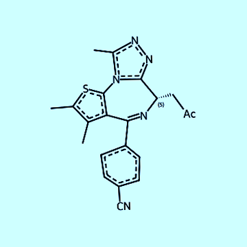 CC(=O)C[C@@H]1N=C(c2ccc(C#N)cc2)c2c(sc(C)c2C)-n2c(C)nnc21